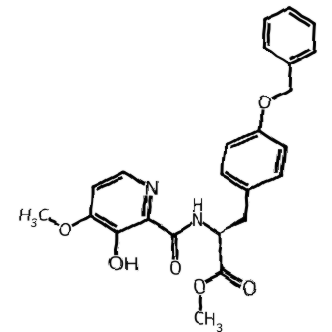 COC(=O)[C@H](Cc1ccc(OCc2ccccc2)cc1)NC(=O)c1nccc(OC)c1O